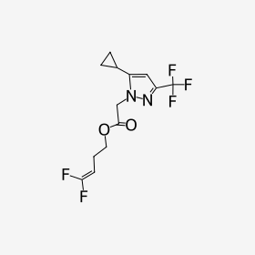 O=C(Cn1nc(C(F)(F)F)cc1C1CC1)OCCC=C(F)F